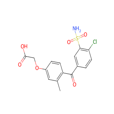 Cc1cc(OCC(=O)O)ccc1C(=O)c1ccc(Cl)c(S(N)(=O)=O)c1